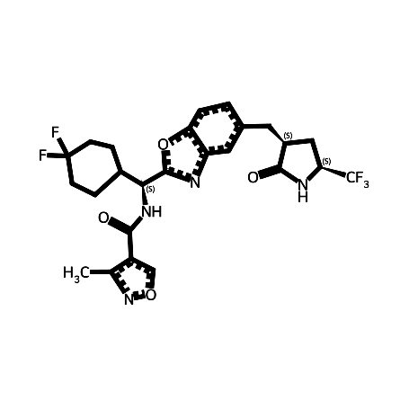 Cc1nocc1C(=O)N[C@H](c1nc2cc(C[C@H]3C[C@@H](C(F)(F)F)NC3=O)ccc2o1)C1CCC(F)(F)CC1